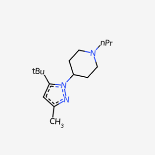 CCCN1CCC(n2nc(C)cc2C(C)(C)C)CC1